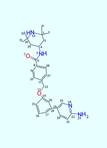 CC1(C)CC(NC(=O)c2ccc(COc3cccc(-c4ccc(N)nc4)c3)cc2)CC(C)(C)N1